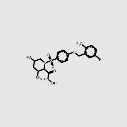 O=C(NO)C1C(C(F)(F)F)CC(O)CN1S(=O)(=O)c1ccc(OCc2cc(F)ccc2C(F)(F)F)cc1